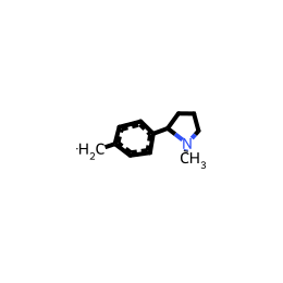 [CH2]c1ccc(C2CCCN2C)cc1